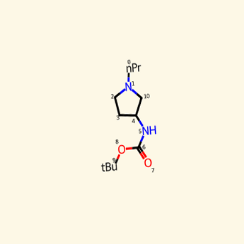 CCCN1CCC(NC(=O)OC(C)(C)C)C1